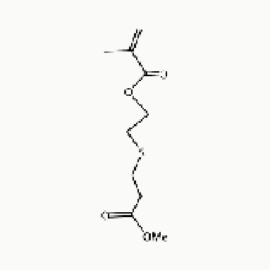 C=C(C)C(=O)OCCSCCC(=O)OC